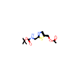 CC(=O)OCc1cnc(CNC(=O)OC(C)(C)C)s1